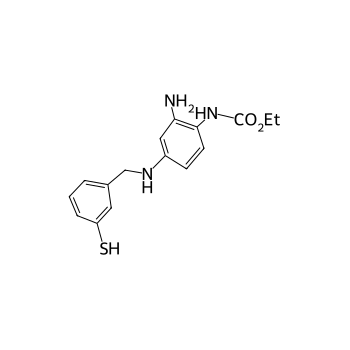 CCOC(=O)Nc1ccc(NCc2cccc(S)c2)cc1N